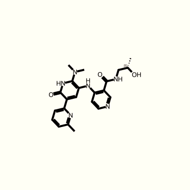 Cc1cccc(-c2cc(Nc3ccncc3C(=O)NC[C@H](C)O)c(N(C)C)[nH]c2=O)n1